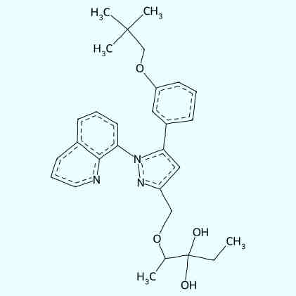 CCC(O)(O)C(C)OCc1cc(-c2cccc(OCC(C)(C)C)c2)n(-c2cccc3cccnc23)n1